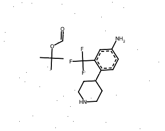 CC(C)(C)OC=O.Nc1ccc(C2CCNCC2)c(C(F)(F)F)c1